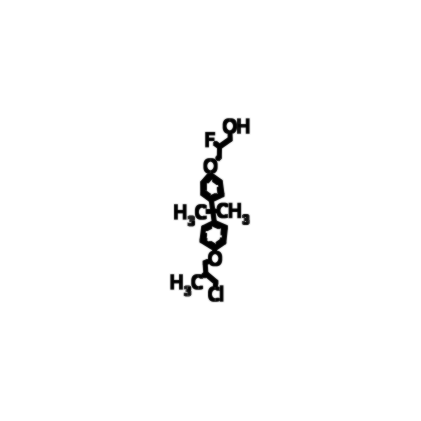 CC(CCl)COc1ccc(C(C)(C)c2ccc(OCC(F)CO)cc2)cc1